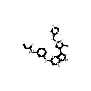 C=CC(=O)Nc1cccc(Oc2cnc3[nH]cc(-c4cn(Cc5cncs5)nc4C)c3n2)c1